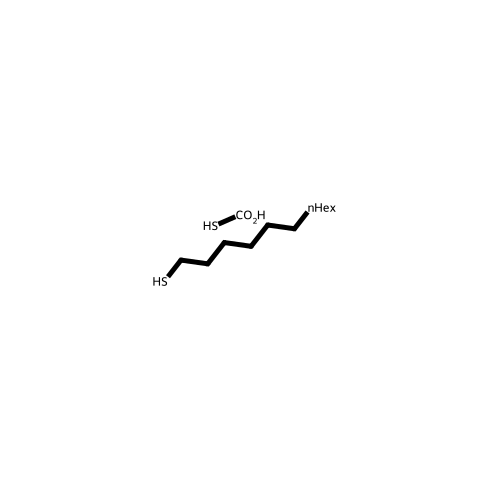 CCCCCCCCCCCCS.O=C(O)S